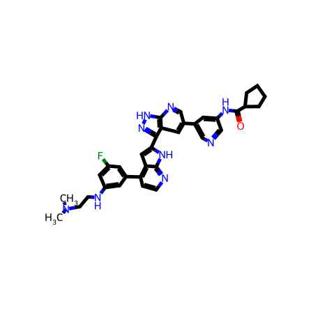 CN(C)CCNc1cc(F)cc(-c2ccnc3[nH]c(-c4n[nH]c5ncc(-c6cncc(NC(=O)C7CCCC7)c6)cc45)cc23)c1